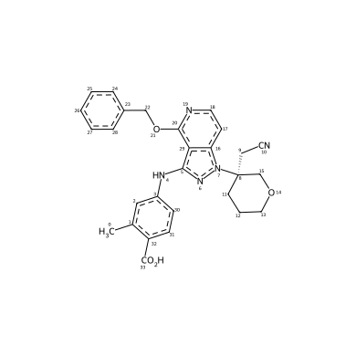 Cc1cc(Nc2nn([C@]3(CC#N)CCCOC3)c3ccnc(OCc4ccccc4)c23)ccc1C(=O)O